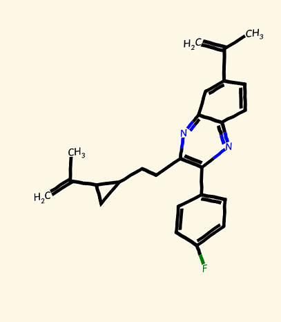 C=C(C)c1ccc2nc(-c3ccc(F)cc3)c(CCC3CC3C(=C)C)nc2c1